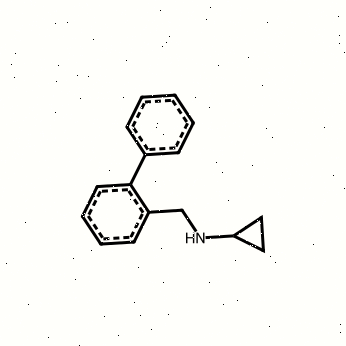 c1ccc(-c2ccccc2CNC2CC2)cc1